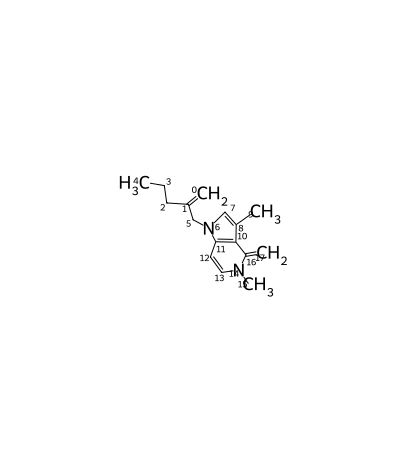 C=C(CCC)Cn1cc(C)c2c1C=CN(C)C2=C